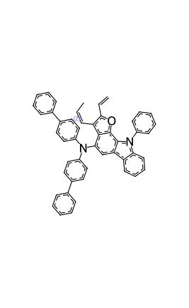 C=Cc1oc2c(c(N(c3ccc(-c4ccccc4)cc3)c3ccc(-c4ccccc4)cc3)cc3c4ccccc4n(-c4ccccc4)c32)c1/C=C\C